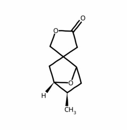 C[C@@H]1CC2O[C@H]1CC21COC(=O)C1